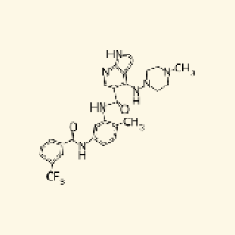 Cc1ccc(NC(=O)c2cccc(C(F)(F)F)c2)cc1NC(=O)c1cnc2[nH]ccc2c1NN1CCN(C)CC1